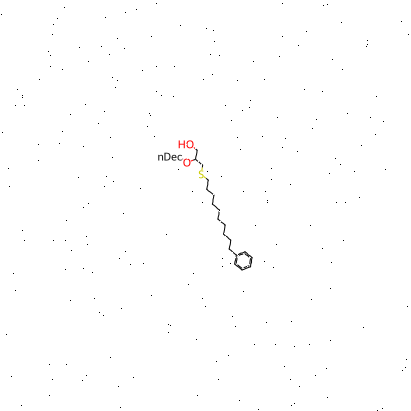 CCCCCCCCCCOC(CO)CSCCCCCCCCCCc1ccccc1